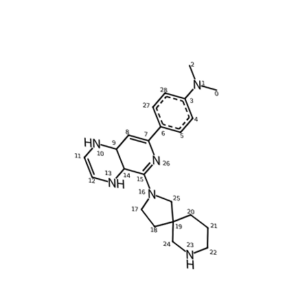 CN(C)c1ccc(C2=CC3NC=CNC3C(N3CCC4(CCCNC4)C3)=N2)cc1